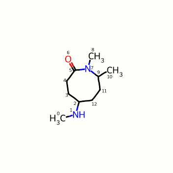 CNC1CCC(=O)N(C)C(C)CC1